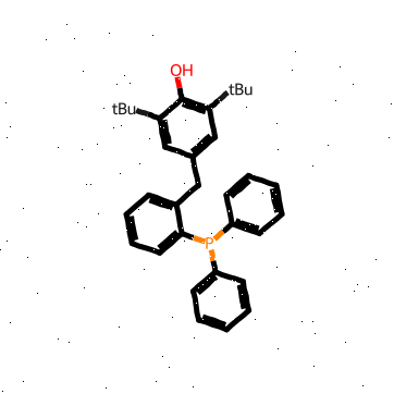 CC(C)(C)c1cc(Cc2ccccc2P(c2ccccc2)c2ccccc2)cc(C(C)(C)C)c1O